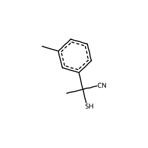 Cc1cccc(C(C)(S)C#N)c1